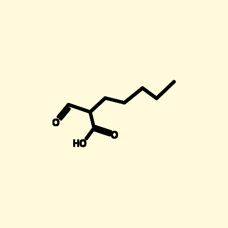 CCCCCC(C=O)C(=O)O